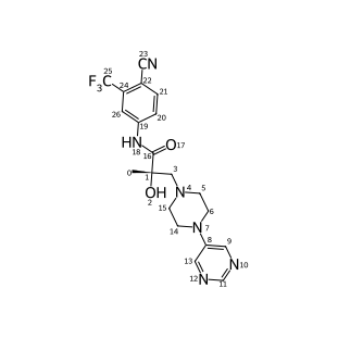 C[C@](O)(CN1CCN(c2cncnc2)CC1)C(=O)Nc1ccc(C#N)c(C(F)(F)F)c1